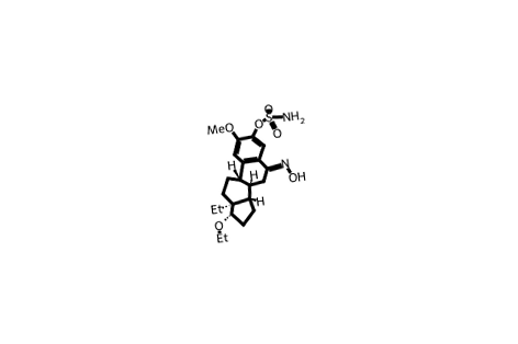 CCO[C@H]1CC[C@H]2[C@@H]3C/C(=N\O)c4cc(OS(N)(=O)=O)c(OC)cc4[C@H]3CC[C@]12CC